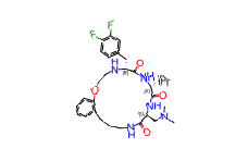 CC(C)[C@H]1NC(=O)[C@@H](Cc2ccc(F)c(F)c2)NCCOc2ccccc2CCCNC(=O)[C@H](CN(C)C)NC1=O